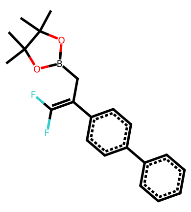 CC1(C)OB(CC(=C(F)F)c2ccc(-c3ccccc3)cc2)OC1(C)C